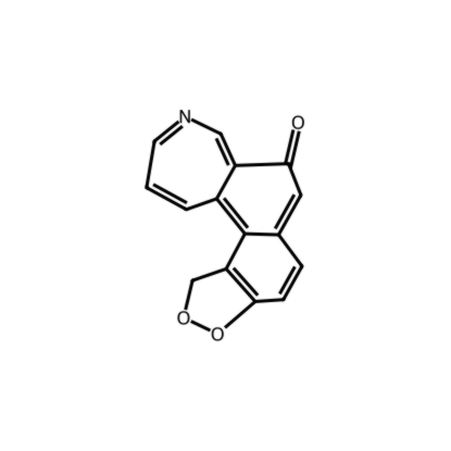 O=c1cc2ccc3c(c2c2cccncc1-2)COO3